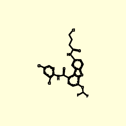 O=C(CCCCl)Nc1ccc2oc3c(OC(F)F)ccc(C(=O)Nc4ncc(Cl)cc4Cl)c3c2c1